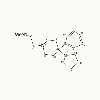 CNCCN1CCC(c2ccccc2)(N2CCCC2)CC1